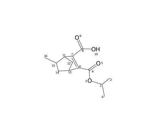 CC(C)OC(=O)C1=C(C(=O)O)C2CC1CC2C